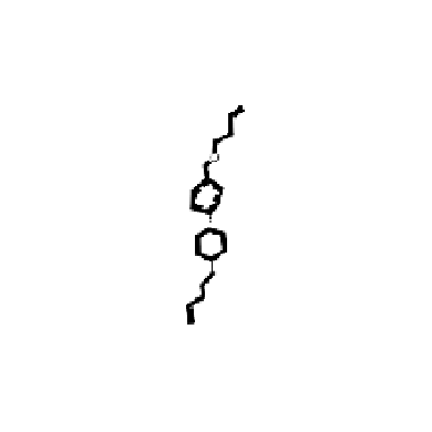 C=CCCC[C@H]1CC[C@H](c2ccc(COCCC=C)cc2)CC1